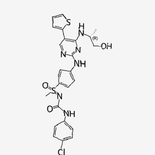 C[C@H](CO)Nc1nc(Nc2ccc(S(C)(=O)=NC(=O)Nc3ccc(Cl)cc3)cc2)ncc1-c1cccs1